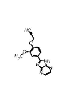 C#CCOc1ccc(-c2nc3nccnc3[nH]2)cc1OC